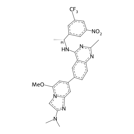 COc1cc(-c2ccc3nc(C)nc(N[C@H](C)c4cc([N+](=O)[O-])cc(C(F)(F)F)c4)c3c2)cc2nc(N(C)C)cn12